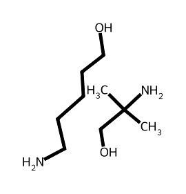 CC(C)(N)CO.NCCCCCO